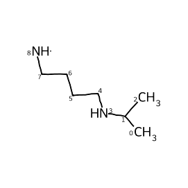 CC(C)NCCCC[NH]